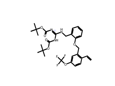 C=Cc1ccc(OC(F)(F)F)cc1COc1ccccc1CN/C(=N/C(=O)OC(C)(C)C)NC(=O)OC(C)(C)C